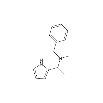 CC(c1ccc[nH]1)N(C)Cc1ccccc1